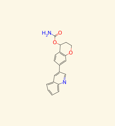 NC(=O)OC1CCOc2cc(-c3cnc4ccccc4c3)ccc21